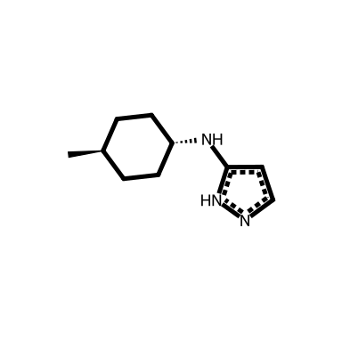 C[C@H]1CC[C@H](Nc2ccn[nH]2)CC1